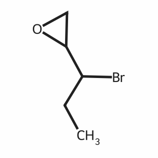 CCC(Br)C1CO1